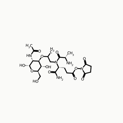 CC(=O)N[C@@H]1[C@@H](OC(C)CN(C(=O)[C@H](C)N)[C@H](CCC(=O)ON2C(=O)CCC2=O)C(N)=O)[C@H](O)[C@@H](CO)O[C@@H]1O